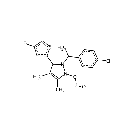 CC1=C(C)N(OC=O)N(C(C)c2ccc(Cl)cc2)C1c1cc(F)cs1